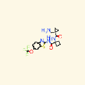 NCC1(C(=O)NC2(C(=O)Nc3nc4ccc(OC(F)(F)F)cc4s3)CCC2)CC1